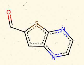 O=Cc1cc2nccnc2s1